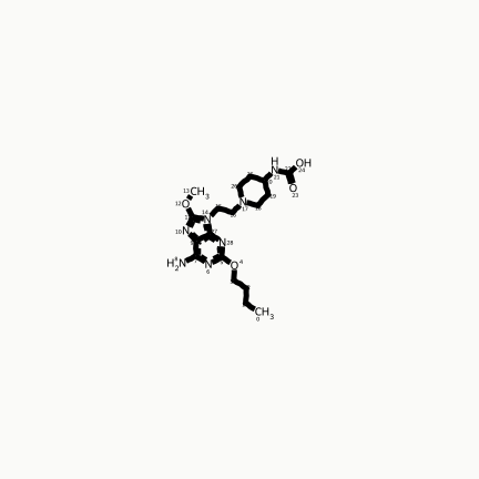 CCCCOc1nc(N)c2nc(OC)n(CCN3CCC(NC(=O)O)CC3)c2n1